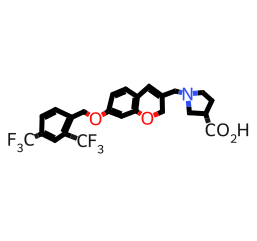 O=C(O)C1CCN(CC2=Cc3ccc(OCc4ccc(C(F)(F)F)cc4C(F)(F)F)cc3OC2)C1